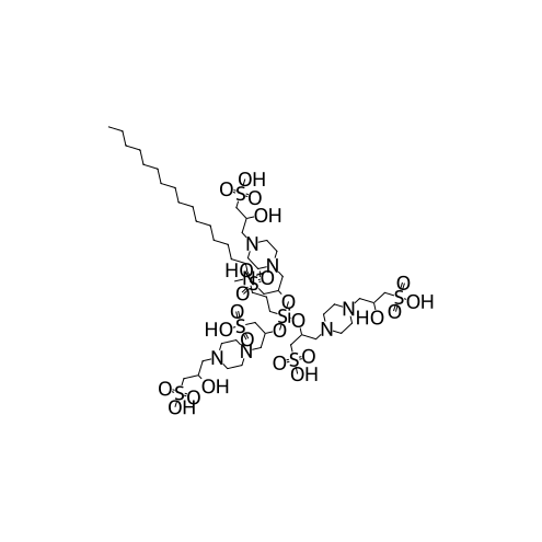 CCCCCCCCCCCCCCCC[N+](C)(C)CCC[Si](OC(CN1CCN(CC(O)CS(=O)(=O)O)CC1)CS(=O)(=O)O)(OC(CN1CCN(CC(O)CS(=O)(=O)O)CC1)CS(=O)(=O)O)OC(CN1CCN(CC(O)CS(=O)(=O)O)CC1)CS(=O)(=O)O